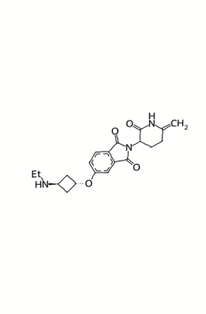 C=C1CCC(N2C(=O)c3ccc(O[C@H]4C[C@H](NCC)C4)cc3C2=O)C(=O)N1